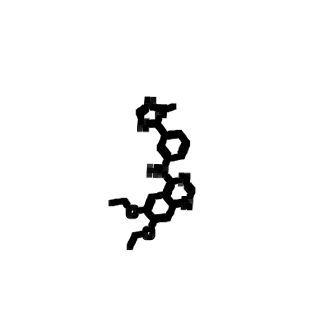 CCOc1cc2ncnc(Nc3cccc(-c4ncnn4C)c3)c2cc1OCC